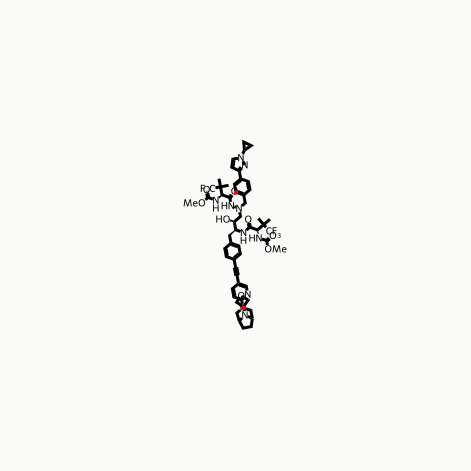 COC(=O)N[C@H](C(=O)N[C@@H](Cc1ccc(C#Cc2ccc(N3CC4CCC(C3)N4C3COC3)nc2)cc1)[C@@H](O)CN(Cc1ccc(-c2ccn(C3CC3)n2)cc1)NC(=O)[C@@H](NC(=O)OC)C(C)(C)C(F)(F)F)C(C)(C)C(F)(F)F